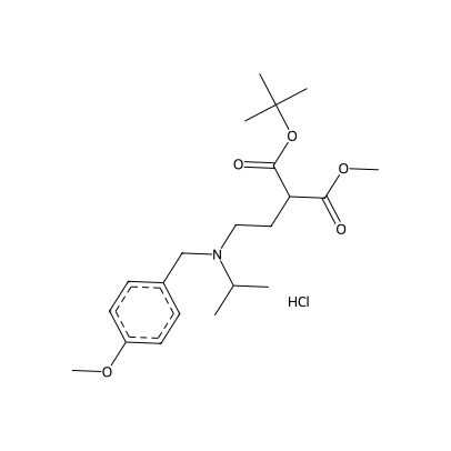 COC(=O)C(CCN(Cc1ccc(OC)cc1)C(C)C)C(=O)OC(C)(C)C.Cl